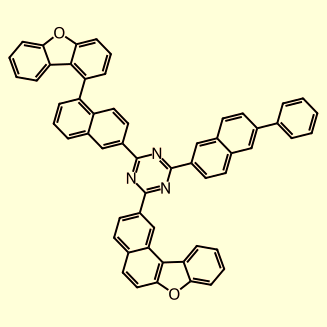 c1ccc(-c2ccc3cc(-c4nc(-c5ccc6c(-c7cccc8oc9ccccc9c78)cccc6c5)nc(-c5ccc6ccc7oc8ccccc8c7c6c5)n4)ccc3c2)cc1